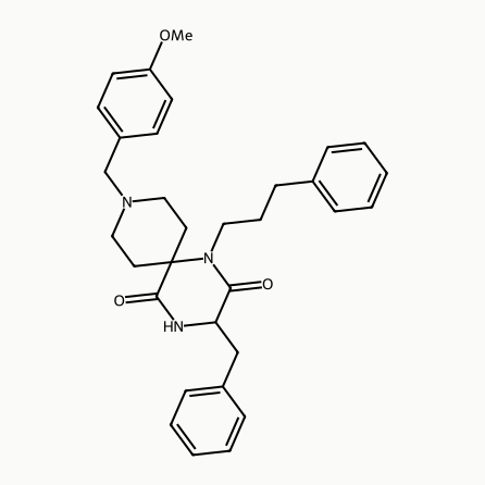 COc1ccc(CN2CCC3(CC2)C(=O)NC(Cc2ccccc2)C(=O)N3CCCc2ccccc2)cc1